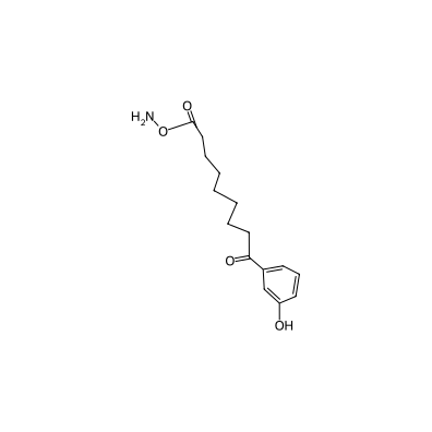 NOC(=O)CCCCCCCC(=O)c1cccc(O)c1